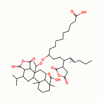 CCC/C=C/C(CCC(CCCCCCCCC(=O)O)OOC(C)C12CCC3C(C)(C(=O)O)CCCC3(C)C1CC(C(C)C)C1C(=O)OC(=O)C12)C1CC(=O)OC1=O